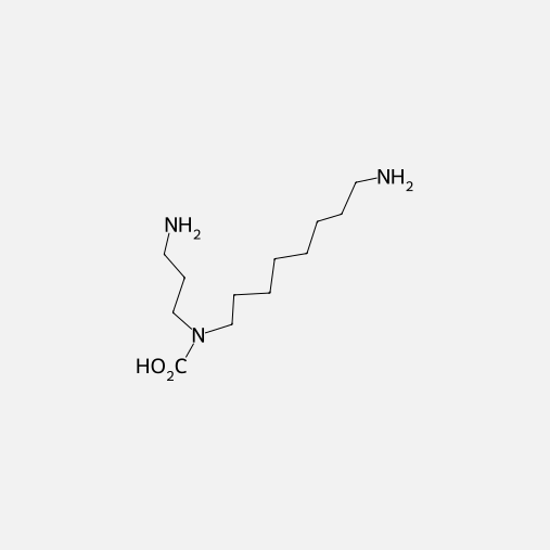 NCCCCCCCCN(CCCN)C(=O)O